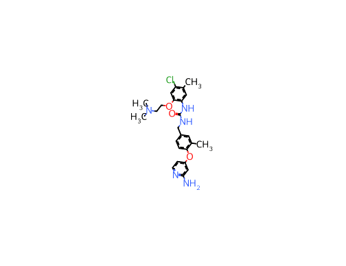 Cc1cc(NC(=O)NCc2ccc(Oc3ccnc(N)c3)c(C)c2)c(OCCN(C)C)cc1Cl